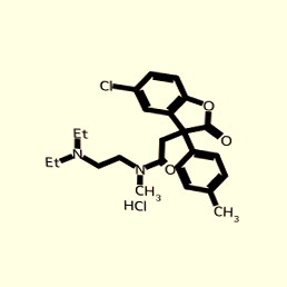 CCN(CC)CCN(C)C(=O)CC1(c2ccc(C)cc2)C(=O)Oc2ccc(Cl)cc21.Cl